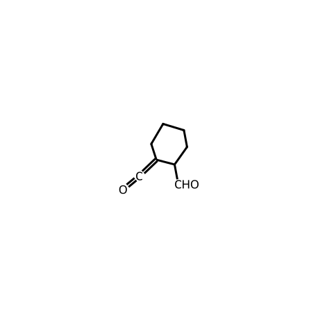 O=C=C1CCCCC1C=O